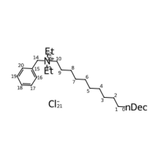 CCCCCCCCCCCCCCCCCCCC[N+](CC)(CC)Cc1ccccc1.[Cl-]